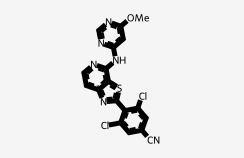 COc1cc(Nc2nccc3nc(-c4c(Cl)cc(C#N)cc4Cl)sc23)ncn1